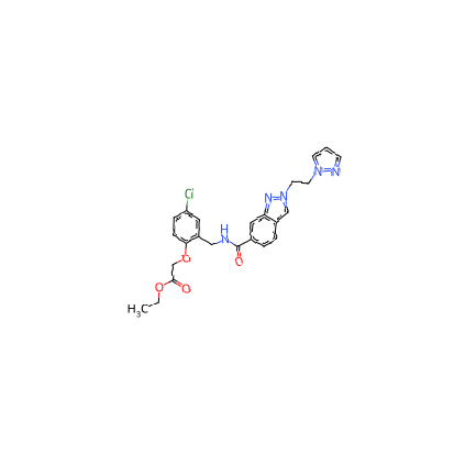 CCOC(=O)COc1ccc(Cl)cc1CNC(=O)c1ccc2cn(CCn3cccn3)nc2c1